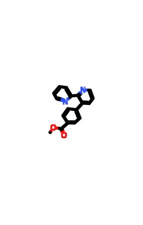 COC(=O)c1ccc(-c2cccnc2-c2ccccn2)cc1